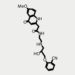 COc1ccc2[nH]c(CC(=O)NCCNCC(O)COc3ccccc3C#N)cc(=O)c2c1